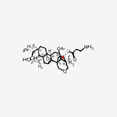 CC(=O)O[C@@H]1C[C@]23COC[C@@](C)([C@@H]2CC[C@H]2C3=CC[C@@]3(C)[C@H](C(=O)O)[C@@](C)([C@H](C)C(C)C)CC[C@]23C)[C@H]1OC(=O)CCN